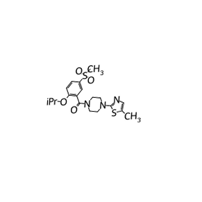 Cc1cnc(N2CCN(C(=O)c3cc(S(C)(=O)=O)ccc3OC(C)C)CC2)s1